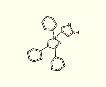 C1=C(c2ccccc2)C(c2ccccc2)=N[N+]1(c1ccccc1)c1cn[nH]c1